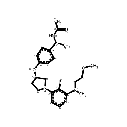 COCCN(C)c1nccc(N2CC[C@@H](Oc3ccc([C@H](C)NC(C)=O)cc3)C2)c1F